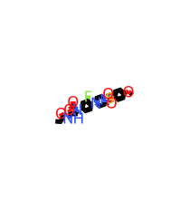 CCC(=O)NC1CN(c2ccc(N3CCN(S(=O)(=O)c4ccc(OC)cc4)CC3)c(F)c2)C(=O)O1